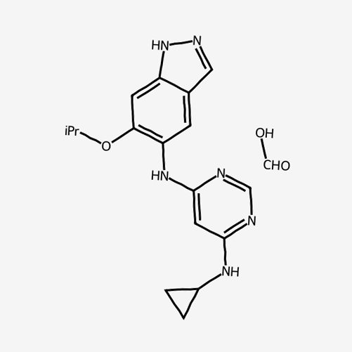 CC(C)Oc1cc2[nH]ncc2cc1Nc1cc(NC2CC2)ncn1.O=CO